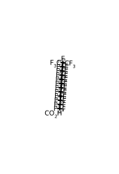 O=C(O)C(F)(F)C(F)(F)C(F)(F)C(F)(F)C(F)(F)C(F)(F)C(F)(F)C(F)(F)C(F)(F)C(F)(F)C(F)(F)C(F)(C(F)(F)F)C(F)(F)F